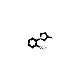 CC1CCN(c2ccccc2C(=O)O)C1